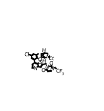 CCN1C[C@H]2C[C@@H]1[C@H](Oc1c(C)cc(Cl)cc1-c1ccnc3cc(Cn4c(=O)ccn(CC(F)(F)F)c4=O)sc13)C2